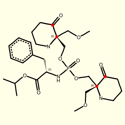 COC[C@@]1(COP(=O)(N[C@@H](Cc2ccccc2)C(=O)OC(C)C)OC[C@]2(COC)C(=O)C3CCN2CC3)C(=O)C2CCN1CC2